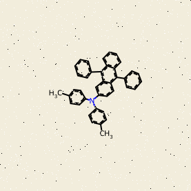 Cc1ccc(N(c2ccc(C)cc2)c2ccc3c(-c4ccccc4)c4ccccc4c(-c4ccccc4)c3c2)cc1